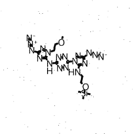 COCCn1nc(N=[N+]=[N-])nc1Nc1nnc(-n2nc(N=[N+]=[N-])nc2NCCO[Si](C)(C)C)nn1